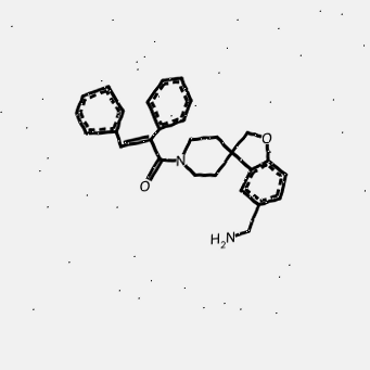 NCc1ccc2c(c1)C1(CCN(C(=O)C(=Cc3ccccc3)c3ccccc3)CC1)CO2